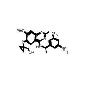 COc1cc2nc(C)nc(N[C@H](C)c3cc(N)cc(C(F)(F)F)c3)c2cc1OC1(CO)CC1